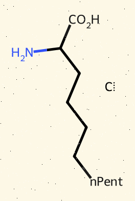 CCCCCCCCCC(N)C(=O)O.[C]